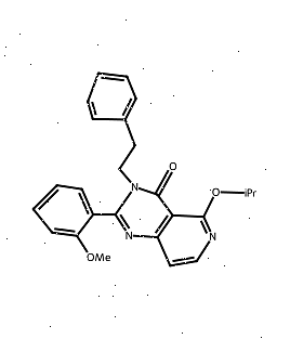 COc1ccccc1-c1nc2ccnc(OC(C)C)c2c(=O)n1CCc1ccccc1